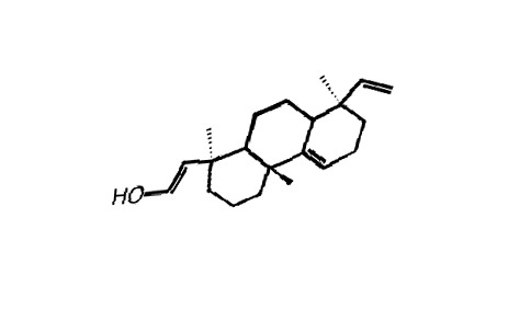 C=C[C@@]1(C)CCC=C2C1CCC1[C@@]2(C)CCC[C@@]1(C)/C=C/O